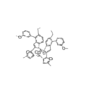 CCc1ccc2c(c1-c1cccc(OC)c1)C=C(c1ccc(C)o1)[CH]2[Zr]([Cl])([Cl])([CH]1C(c2ccc(C)o2)=Cc2c1ccc(CC)c2-c1cccc(OC)c1)=[Si](C)C